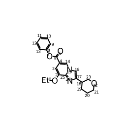 CCOc1cc(C(=O)Oc2ccccc2)cn2cc(C3CCCOC3)nc12